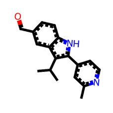 Cc1cc(-c2[nH]c3ccc(C=O)cc3c2C(C)C)ccn1